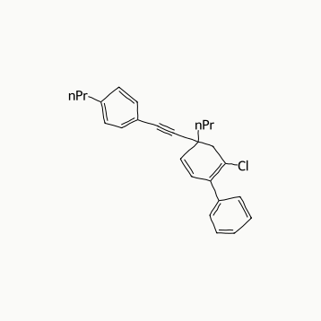 CCCc1ccc(C#CC2(CCC)C=CC(c3ccccc3)=C(Cl)C2)cc1